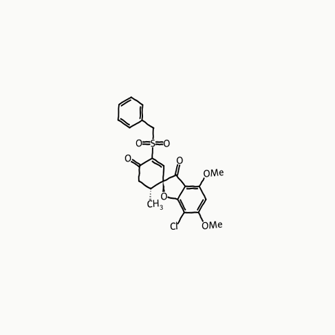 COc1cc(OC)c2c(c1Cl)O[C@@]1(C=C(S(=O)(=O)Cc3ccccc3)C(=O)C[C@H]1C)C2=O